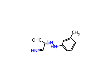 Cc1cccc(N/N=C(\C=N)C=O)c1